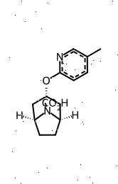 Cc1ccc(O[C@@H]2C[C@H]3CC[C@@H](C2)N3C(=O)O)nc1